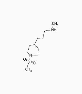 CNCCCC1CCN(S(C)(=O)=O)CC1